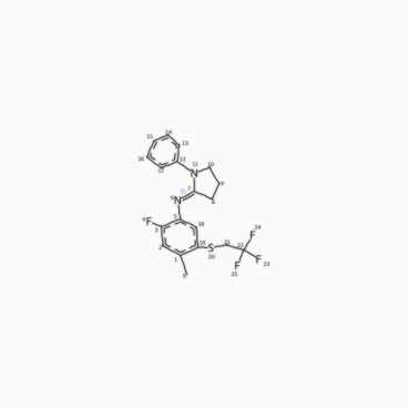 Cc1cc(F)c(/N=C2\CCCN2c2ccccc2)cc1SCC(F)(F)F